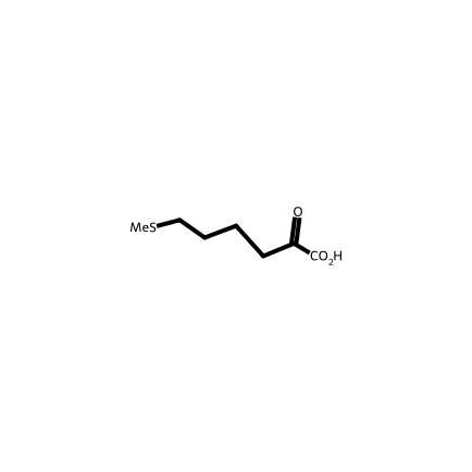 CSCCCCC(=O)C(=O)O